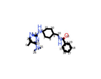 Cc1cnc(NC2CCC(CNC(=O)c3ccccc3)CC2)nc1N(C)C